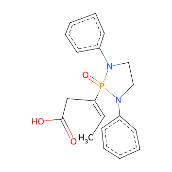 CC=C(CC(=O)O)P1(=O)N(c2ccccc2)CCN1c1ccccc1